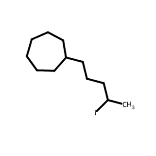 CC(I)CCCC1CCCCCC1